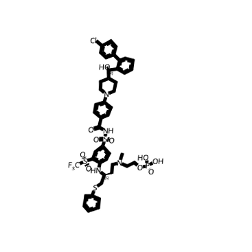 CN(CCOP(=O)(O)O)CC[C@@H](CSc1ccccc1)Nc1ccc(S(=O)(=O)NC(=O)c2ccc(N3CCC([C@@H](O)c4ccccc4-c4ccc(Cl)cc4)CC3)cc2)cc1S(=O)(=O)C(F)(F)F